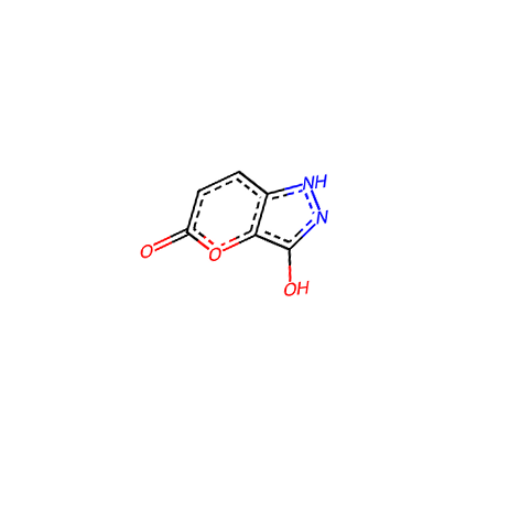 O=c1ccc2[nH]nc(O)c2o1